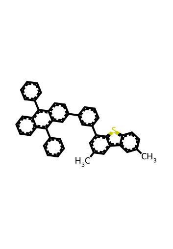 Cc1ccc2sc3c(-c4cccc(-c5ccc6c(-c7ccccc7)c7ccccc7c(-c7ccccc7)c6c5)c4)cc(C)cc3c2c1